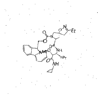 CCC[C@H](NC(=O)[C@@H]1C[C@]2(CC(CC)=NO2)CN1C(=O)OCC1c2ccccc2-c2ccccc21)C(OC)C(=O)NC1CC1